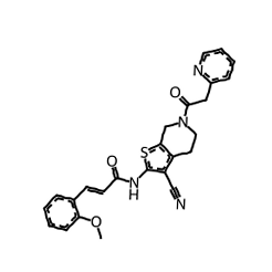 COc1ccccc1C=CC(=O)Nc1sc2c(c1C#N)CCN(C(=O)Cc1ccccn1)C2